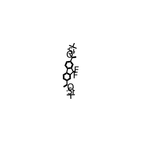 C=C(O[Si](C)(C)C(C)(C)C)c1ccc2c(c1)C(F)(F)c1cc(C(=C)O[Si](C)(C)C(C)(C)C)ccc1-2